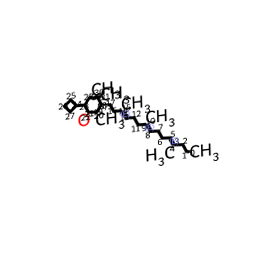 CCC/C(C)=C/CC/C=C(\C)CC/C=C(\C)CC[C@H]1C(C)C(=O)C(C2CCC2)CC1(C)C